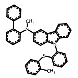 Cc1ccccc1Sc1ccccc1-n1c2ccccc2c2cc(N(C)c3ccccc3-c3ccccc3)ccc21